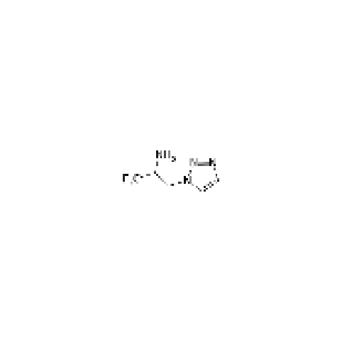 NC(Cn1ccnn1)C(F)(F)F